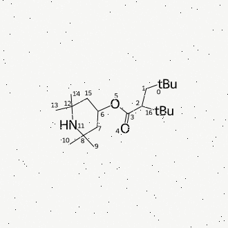 CC(C)(C)CC(C(=O)OC1CC(C)(C)NC(C)(C)C1)C(C)(C)C